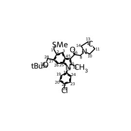 CSCc1cc2c(C(=O)CN3CCCCC3)c(C)n(-c3ccc(Cl)cc3)c2cc1COC(C)(C)C